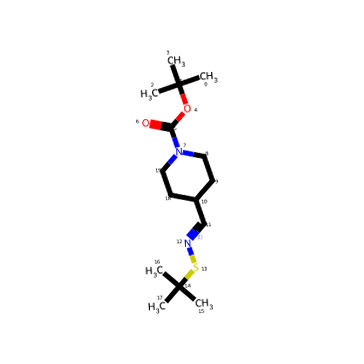 CC(C)(C)OC(=O)N1CCC(/C=N/SC(C)(C)C)CC1